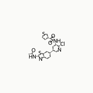 CC(=O)Nc1nc2ccc(-c3cnc(Cl)c(NS(=O)(=O)c4ccsc4)c3)cc2s1